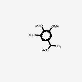 COc1cc(C(C)OC(C)=O)cc(OC)c1OC